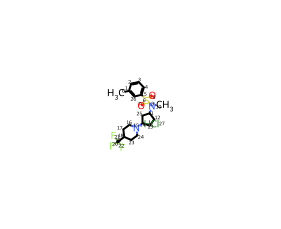 Cc1cccc(S(=O)(=O)N(C)[C@H]2CC[C@@H](N3CCC(C(F)(F)F)CC3)C2)c1.Cl